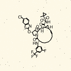 CC1(S(=O)(=O)NC(=O)[C@@]23C[C@H]2/C=C\CCCCC[C@H](Nc2cc(F)cc(C(F)(F)F)c2)C(=O)N2C[C@H](Oc4nc5ccc(Cl)cc5s4)C[C@H]2C(=O)N3)CC1